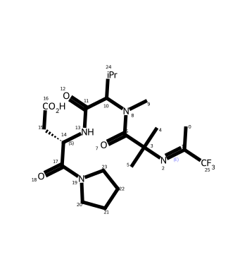 C/C(=N\C(C)(C)C(=O)N(C)C(C(=O)N[C@@H](CC(=O)O)C(=O)N1CCCC1)C(C)C)C(F)(F)F